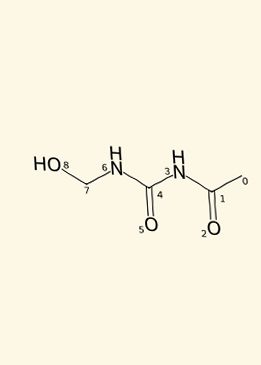 CC(=O)NC(=O)NCO